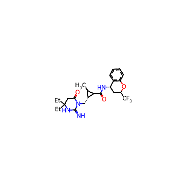 CCC1(CC)CC(=O)N(C[C@@H]2C(C)[C@H]2C(=O)N[C@H]2C[C@H](C(F)(F)F)Oc3ccccc32)C(=N)N1